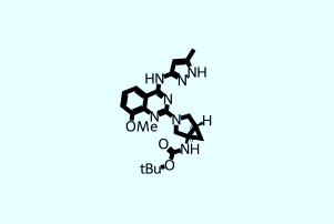 COc1cccc2c(Nc3cc(C)[nH]n3)nc(N3C[C@@H]4C[C@]4(NC(=O)OC(C)(C)C)C3)nc12